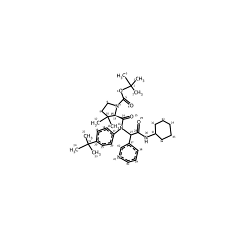 CC(C)(C)OC(=O)N1CCC(C)(C)[C@@H]1C(=O)N(c1ccc(C(C)(C)C)cc1)C(C(=O)NC1CCCCC1)c1cccnc1